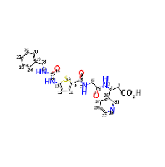 O=C(O)CC(NC(=O)CNC(=O)c1ccc(NC(=O)NCc2ccccc2)s1)c1cccnc1